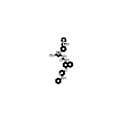 CC(C)(C)c1cc(NC(=O)Nc2ccc(Oc3ccnc(Nc4ccccc4)c3)c3ccccc23)n(-c2cccc(C[P]3(O)CCCC3)c2)n1